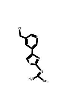 NC(N)=Nc1nc(-c2cncc(CCl)c2)cs1